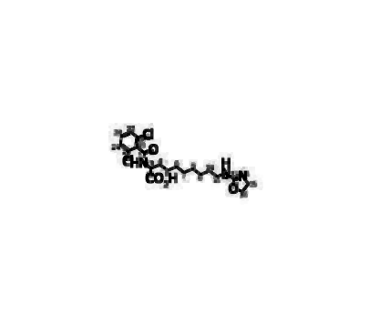 O=C(N[C@@H](CCCCCCCCNC1=NCCO1)C(=O)O)c1c(Cl)cccc1Cl